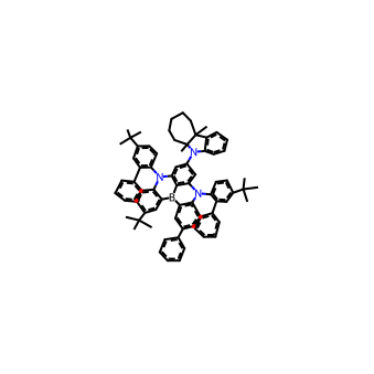 CC(C)(C)c1ccc2c(c1)B1c3cc(-c4ccccc4)ccc3N(c3ccc(C(C)(C)C)cc3-c3ccccc3)c3cc(N4c5ccccc5C5(C)CCCCCC45C)cc(c31)N2c1ccc(C(C)(C)C)cc1-c1ccccc1